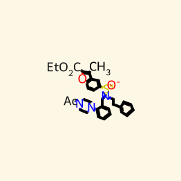 CCOC(=O)c1oc2ccc([S+]([O-])N(CCc3ccccc3)Cc3ccccc3N3CCN(C(C)=O)CC3)cc2c1C